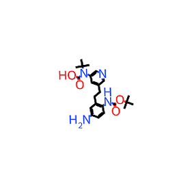 CC(C)(C)OC(=O)Nc1ccc(N)cc1CCc1cncc(N(C(=O)O)C(C)(C)C)c1